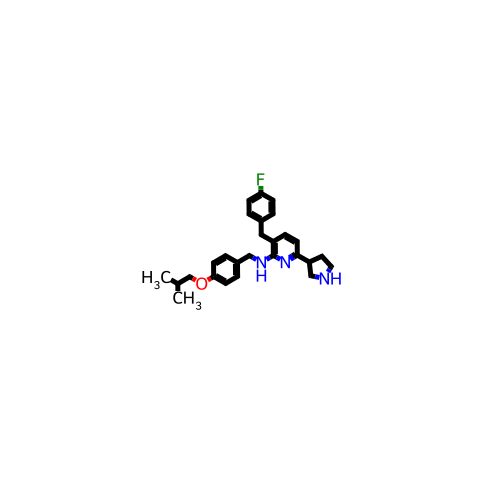 CC(C)COc1ccc(CNc2nc(C3CCNC3)ccc2Cc2ccc(F)cc2)cc1